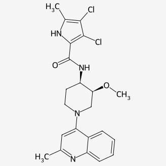 CO[C@H]1CN(c2cc(C)nc3ccccc23)CC[C@H]1NC(=O)c1[nH]c(C)c(Cl)c1Cl